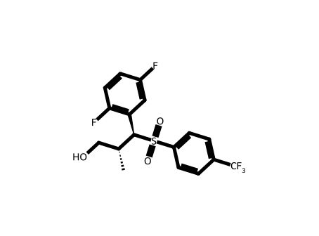 C[C@H](CO)[C@@H](c1cc(F)ccc1F)S(=O)(=O)c1ccc(C(F)(F)F)cc1